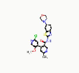 COc1cnc(Cl)cc1-c1cc(C)ncc1C(=O)Nc1nc2ccc(N3CCOCC3)cc2s1